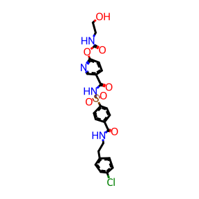 O=C(NCCO)Oc1ccc(C(=O)NS(=O)(=O)c2ccc(C(=O)NCCc3ccc(Cl)cc3)cc2)cn1